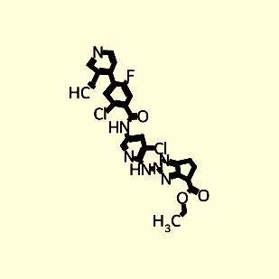 C#Cc1cnccc1-c1cc(Cl)c(C(=O)Nc2cnc(Nn3nc4c(n3)C(C(=O)OCC)CC4)c(Cl)c2)cc1F